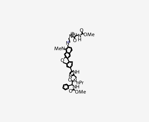 CCCN(Cc1ncc(-c2ccc3c(c2)COc2cc4c(NC)c(/N=C/CN(C(=O)CNC(=O)OC)[C@@H](C)CC)ccc4cc2-3)[nH]1)C(=O)C(NC(=O)OC)c1ccccc1